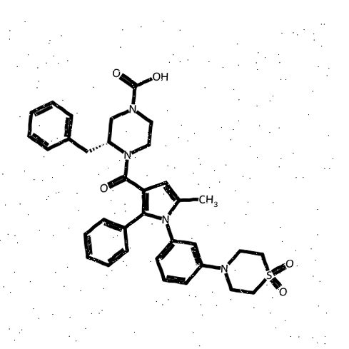 Cc1cc(C(=O)N2CCN(C(=O)O)C[C@H]2Cc2ccccc2)c(-c2ccccc2)n1-c1cccc(N2CCS(=O)(=O)CC2)c1